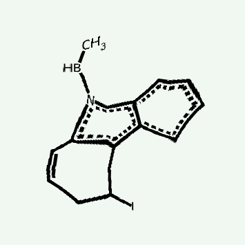 CBn1c2c(c3ccccc31)C(I)CC=C2